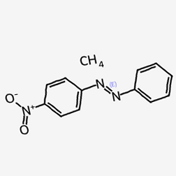 C.O=[N+]([O-])c1ccc(/N=N/c2ccccc2)cc1